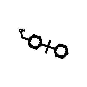 CC(C)(c1ccccc1)c1ccc(CO)cc1